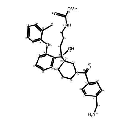 COC(=O)NCCC[C@@](O)(c1ccccc1Oc1ccccc1C)[C@@H]1CCCN(C(=O)c2ccc(CN)cc2)C1